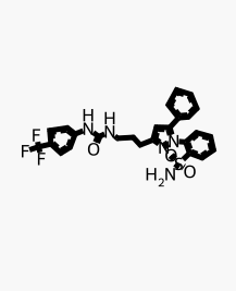 NS(=O)(=O)c1ccccc1-n1nc(CCCNC(=O)Nc2ccc(C(F)(F)F)cc2)cc1-c1ccccc1